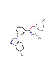 CCCON=C(OC1CCCN(C)C1)c1cccc(-n2cnc3cc(C(C)=O)ccc32)c1